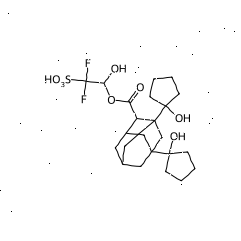 O=C(OC(O)C(F)(F)S(=O)(=O)O)C1C2CC3CC(C4(O)CCCC4)(C2)CC1(C1(O)CCCC1)C3